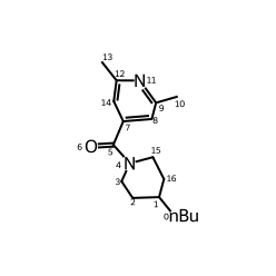 CCCCC1CCN(C(=O)c2cc(C)nc(C)c2)CC1